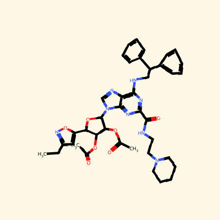 CCc1cc(C2OC(n3cnc4c(NCC(c5ccccc5)c5ccccc5)nc(C(=O)NCCN5CCCCC5)nc43)C(OC(C)=O)C2OC(C)=O)on1